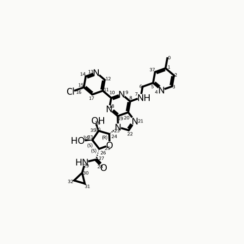 Cc1ccnc(CNc2nc(-c3cncc(Cl)c3)nc3c2ncn3[C@@H]2O[C@H](C(=O)NC3CC3)[C@@H](O)[C@H]2O)c1